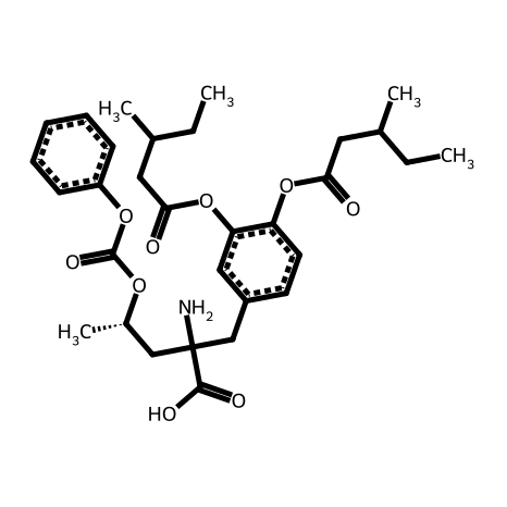 CCC(C)CC(=O)Oc1ccc(CC(N)(C[C@H](C)OC(=O)Oc2ccccc2)C(=O)O)cc1OC(=O)CC(C)CC